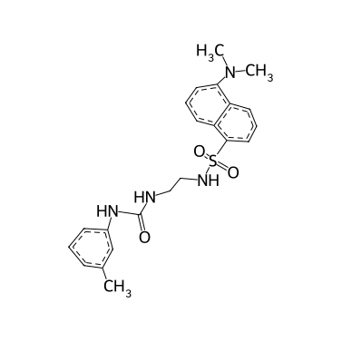 Cc1cccc(NC(=O)NCCNS(=O)(=O)c2cccc3c(N(C)C)cccc23)c1